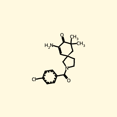 CC1(C)C[C@@]2(C=C(N)C1=O)CCN(C(=O)c1ccc(Cl)cc1)C2